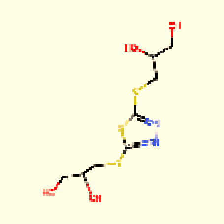 OCC(O)CSc1nnc(SCC(O)CO)s1